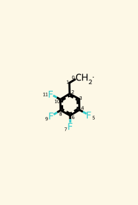 [CH2]Cc1cc(F)c(F)c(F)c1F